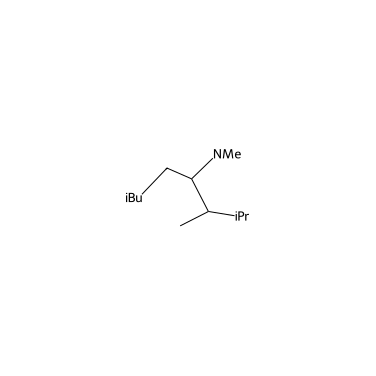 CCC(C)CC(NC)C(C)C(C)C